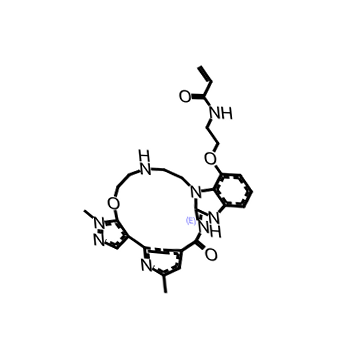 C=CC(=O)NCCOc1cccc2c1N1CCNCCOc3c(cnn3C)-c3cc(cc(C)n3)C(=O)/N=C/1N2